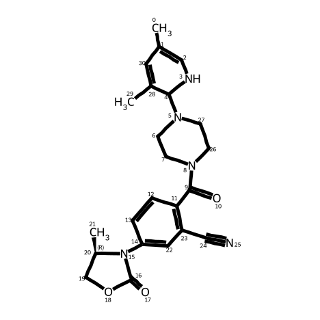 CC1=CNC(N2CCN(C(=O)c3ccc(N4C(=O)OC[C@H]4C)cc3C#N)CC2)C(C)=C1